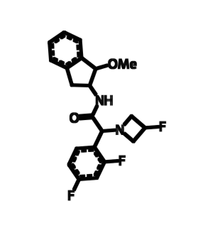 COC1c2ccccc2CC1NC(=O)C(c1ccc(F)cc1F)N1CC(F)C1